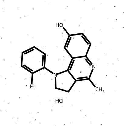 CCc1ccccc1N1CCc2c(C)nc3ccc(O)cc3c21.Cl